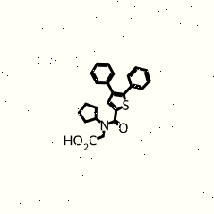 O=C(O)CN(C(=O)c1cc(-c2ccccc2)c(-c2ccccc2)s1)C1CCCC1